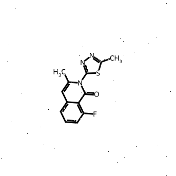 Cc1nnc(-n2c(C)cc3cccc(F)c3c2=O)s1